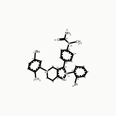 Cc1ccc(C(C)(C)C)cc1N1CCc2nn(-c3ccccc3C(C)C)c(-c3ccc(N(C)C(N)=O)cc3)c2C1